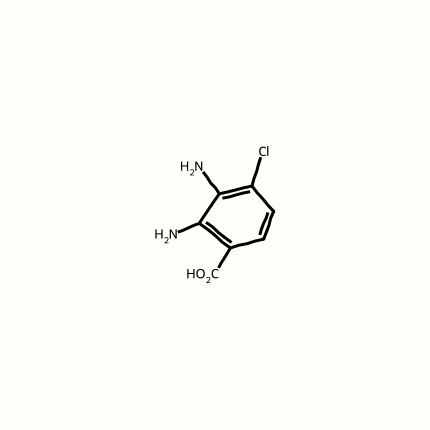 Nc1c(Cl)ccc(C(=O)O)c1N